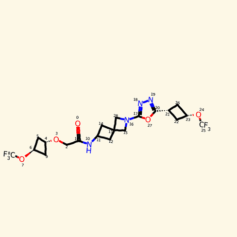 O=C(CO[C@H]1C[C@H](OC(F)(F)F)C1)NC1CC2(C1)CN(c1nnc([C@H]3C[C@@H](OC(F)(F)F)C3)o1)C2